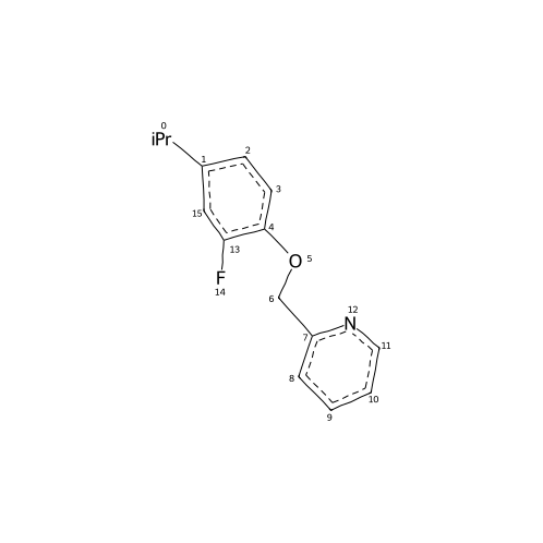 CC(C)c1ccc(OCc2ccccn2)c(F)c1